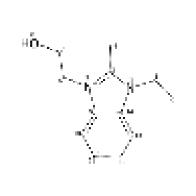 CCn1c(C)[n+](CCO)c2ccccc21